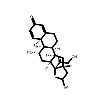 CCCC1C[C@H]2C[C@@H]3[C@@H]4CCC5=CC(=O)C=C[C@@H]5[C@@H]4[C@@H](O)C[C@]3(C)[C@@]2(C(=O)CO)O1